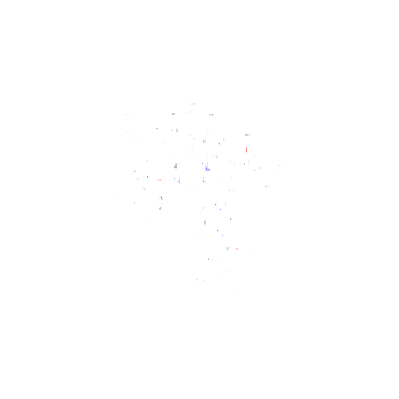 CC(C)(C)OC(=O)n1cnc(C[C@H](NC(=O)C(=Cc2ccccc2)CS(=O)(=O)C(C)(C)C)C(=O)N[C@@H](C[C@H]2CC=CCC2)[C@@H](O)[C@@H](O)C2CC2)c1